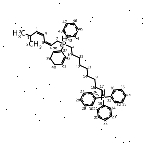 CC(C)/C=C\C=C/C[PH](CCCCCCCCC[PH](c1ccccc1)(c1ccccc1)c1ccccc1)(C1=CCCC=C1)c1ccccc1